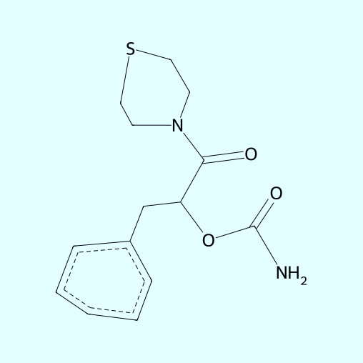 NC(=O)OC(Cc1ccccc1)C(=O)N1CCSCC1